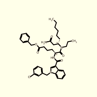 CCCCCC[C@@H](CC(N)=O)N(CCC)C(=O)[C@H](CCCC(=O)OCc1ccccc1)NC(=O)c1cn(Cc2cccc(Cl)c2)c2ccccc12